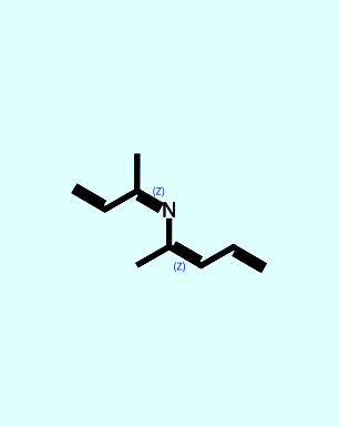 C=C/C=C(C)\N=C(\C)C=C